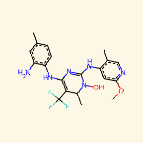 COc1cc(NC2=NC(Nc3ccc(C)cc3N)=C(C(F)(F)F)C(C)N2O)c(C)cn1